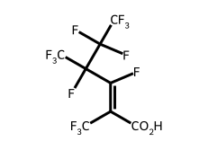 O=C(O)C(=C(F)C(F)(C(F)(F)F)C(F)(F)C(F)(F)F)C(F)(F)F